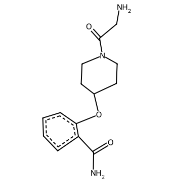 NCC(=O)N1CCC(Oc2ccccc2C(N)=O)CC1